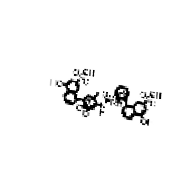 Cc1c2ccc(c1NC(=O)Nc1c3ccc(c1C)N(c1cccc4c(O)cc(S(=O)(=O)O)cc14)S3(=O)=O)S(=O)(=O)N2c1cccc2c(O)cc(S(=O)(=O)O)cc12